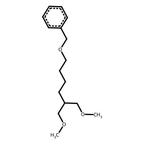 COCC(CCCCOCc1ccccc1)COC